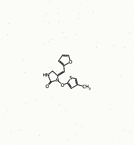 Cc1csc(ON2C(=O)NCC2=Cc2ccco2)c1